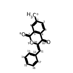 Cc1ccc2c(c1)C(=O)O/C(=C\c1ccccc1)C2=O